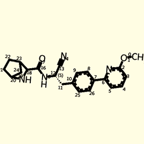 COc1cccc(-c2ccc(C[C@@H](C#N)NC(=O)C3NC4CCC3C4)cc2)n1